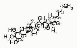 C=C1/C(=C\C=C2/CCC[C@]3(C)[C@@H]([C@@H](C)/C=C/C(=O)C(C)(C)C(=O)CCCCCC)CC[C@@H]23)C[C@@H](O)[C@H](C)[C@@H]1O